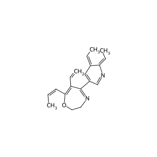 C=CC1=C(/C=C\C)OCCN=C1c1cnc(=C/C)/c(=C\C)c1